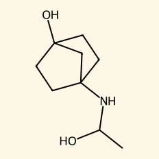 CC(O)NC12CCC(O)(CC1)C2